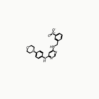 O=[N+]([O-])c1cccc(CNc2cc(Nc3ccc(N4CCOCC4)cc3)ncn2)c1